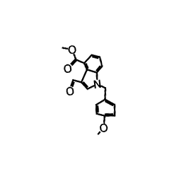 COC(=O)c1cccc2c1c(C=O)cn2Cc1ccc(OC)cc1